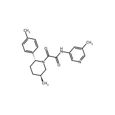 Cc1ccc([C@H]2CC[C@H](C)CN2C(=O)C(=O)Nc2cncc(C)c2)cc1